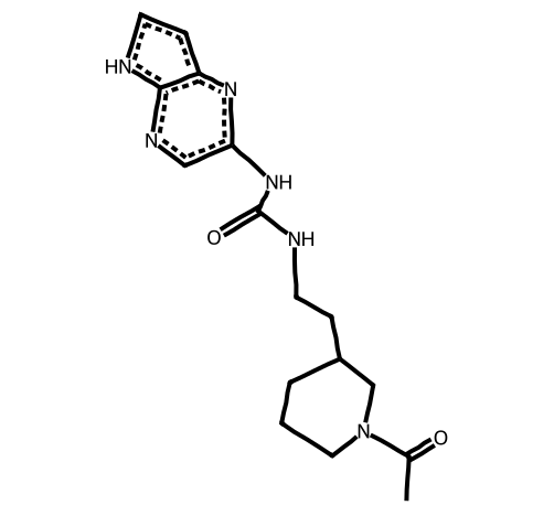 CC(=O)N1CCCC(CCNC(=O)Nc2cnc3[nH]ccc3n2)C1